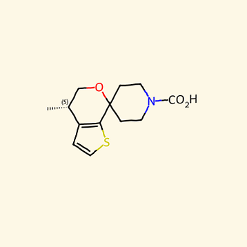 C[C@@H]1COC2(CCN(C(=O)O)CC2)c2sccc21